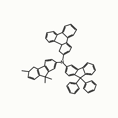 CC1C=CC2=C(C1)c1ccc(N(C3=CC=C4c5ccccc5-c5ccccc5C4C3)c3ccc4c(c3)-c3ccccc3C4(c3ccccc3)c3ccccc3)cc1C2(C)C